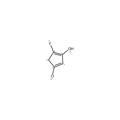 OC1=C(F)CC(Cl)=C1